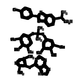 CC(C(=O)O)c1ccc2oc(-c3ccc(Cl)cc3)nc2c1.CC(C)(Sc1cc(C(C)(C)C)c(O)c(C(C)(C)C)c1)Sc1cc(C(C)(C)C)c(O)c(C(C)(C)C)c1.Cn1cnc([N+](=O)[O-])c1Sc1ncnc2nc[nH]c12